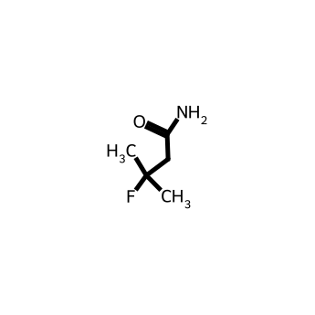 CC(C)(F)CC(N)=O